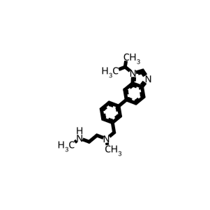 CNCCN(C)Cc1cccc(-c2ccc3ncn(C(C)C)c3c2)c1